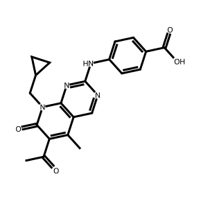 CC(=O)c1c(C)c2cnc(Nc3ccc(C(=O)O)cc3)nc2n(CC2CC2)c1=O